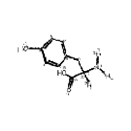 [2H]N([2H])[C@@]([2H])(Cc1ccc(O)cc1)C(=O)O